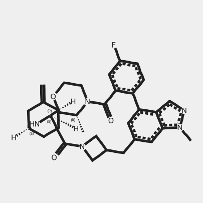 C=C1C[C@@H]2CC[C@H]1[C@@H](C(=O)N1CC(Cc3cc(-c4ccc(F)cc4C(=O)N4CCOC[C@H]4C)c4cnn(C)c4c3)C1)N2